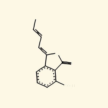 C/C=C/C=C1\OC(=O)c2c1cccc2S(=O)(=O)O